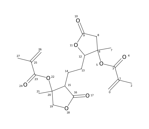 C=C(C)C(=O)OC1(C)CC(=O)OC1CCC1C(=O)OCC1(C)OC(=O)C(=C)C